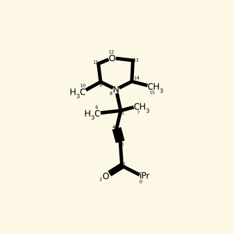 CC(C)C(=O)C#CC(C)(C)N1C(C)COCC1C